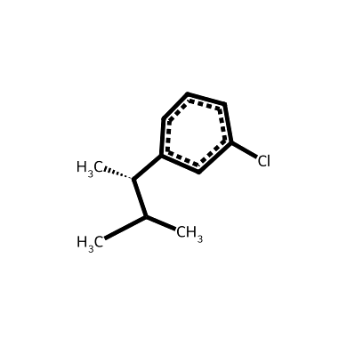 CC(C)[C@H](C)c1cccc(Cl)c1